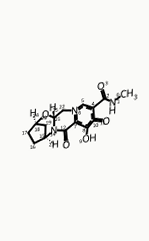 CNC(=O)c1cn2c(c(O)c1=O)C(=O)N1[C@H]3CC[C@H](C3)O[C@@H]1C2